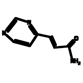 NC(=O)C=Cc1ccncn1